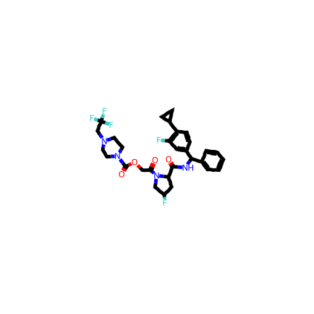 O=C(NC(c1ccccc1)c1ccc(C2CC2)c(F)c1)C1CC(F)CN1C(=O)COC(=O)N1CCN(CC(F)(F)F)CC1